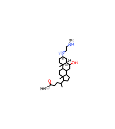 COC(=O)CCC(C)C1CCC2C3CC(O)[C@H]4C[C@H](NCCNC(C)C)CCC4(C)C3CCC12C